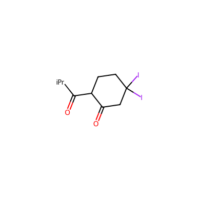 CC(C)C(=O)C1CCC(I)(I)CC1=O